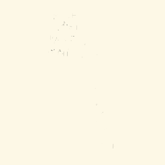 CC/C=C\CCCCCCCC/C=C\CCCC(O)(C[N+](C)(C)C)P(=O)(O)O